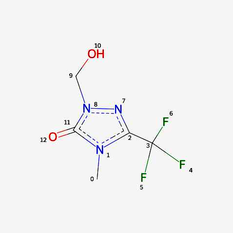 Cn1c(C(F)(F)F)nn(CO)c1=O